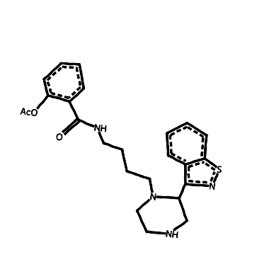 CC(=O)Oc1ccccc1C(=O)NCCCCN1CCNCC1c1nsc2ccccc12